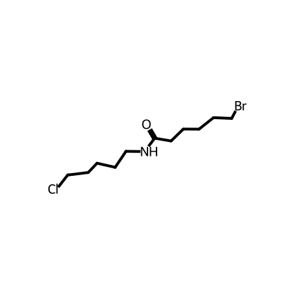 O=C(CCCCCBr)NCCCCCCl